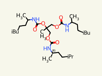 CCC(C)CCC(C)NC(=O)OCC(C)(COC(=O)N[C@H](C)CCC(C)C)OC(=O)NC(C)CCC(C)CC